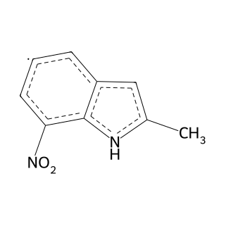 Cc1cc2c[c]cc([N+](=O)[O-])c2[nH]1